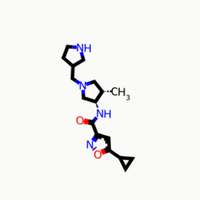 C[C@H]1CN(CC2CCNC2)C[C@H]1NC(=O)c1cc(C2CC2)on1